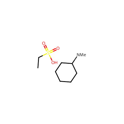 CCS(=O)(=O)O.CNC1CCCCC1